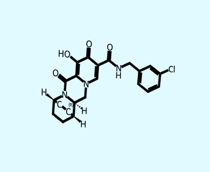 O=C(NCc1cccc(Cl)c1)c1cn2c(c(O)c1=O)C(=O)N1[C@H]3CC[C@H](CC3)[C@@H]1C2